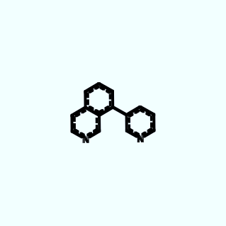 c1cncc(-c2cccc3ccncc23)c1